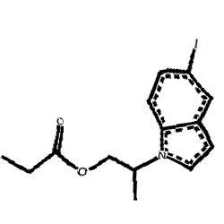 CCC(=O)OCC(C)n1ccc2cc(I)ccc21